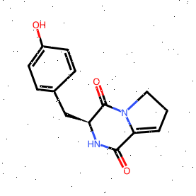 O=C1N[C@@H](Cc2ccc(O)cc2)C(=O)N2CCC=C12